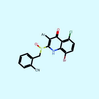 CC(=O)c1c([S+]([O-])Cc2ccccc2C#N)[nH]c2c(Br)ccc(Cl)c2c1=O